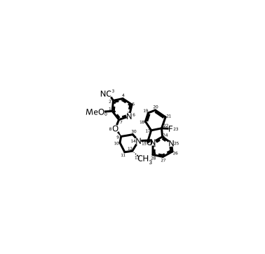 COc1c(C#N)ccnc1O[C@@H]1CC[C@@H](C)N(C(=O)C2C=CC=CC2(F)c2ncccn2)C1